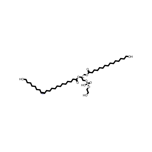 O=C(CCCCCCCCCCCCCCO)OC[C@H](COP(=O)(O)OCCO)OC(=O)CCCCCCCCCCC/C=C\CCCCCCCO